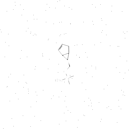 CC(C)(C)[Si](C)(C)OC[C@H]1C2C=CCC21